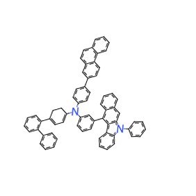 C1=C(c2ccccc2-c2ccccc2)CCC(N(c2ccc(-c3ccc4c(ccc5ccccc54)c3)cc2)c2cccc(-c3c4ccccc4cc4c3c3ccccc3n4-c3ccccc3)c2)=C1